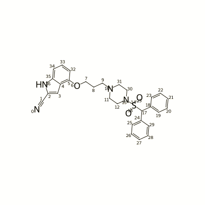 N#Cc1cc2c(OCCCN3CCN(S(=O)(=O)C(c4ccccc4)c4ccccc4)CC3)cccc2[nH]1